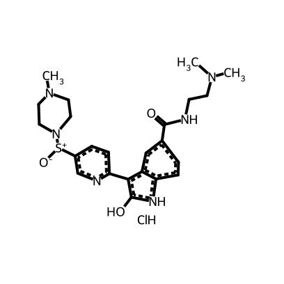 CN(C)CCNC(=O)c1ccc2[nH]c(O)c(-c3ccc([S+]([O-])N4CCN(C)CC4)cn3)c2c1.Cl